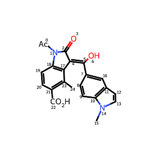 CC(=O)N1C(=O)C(=C(O)c2ccc3c(ccn3C)c2)c2c1ccc(C(=O)O)c2C